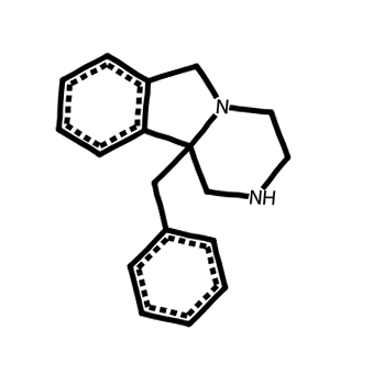 c1ccc(CC23CNCCN2Cc2ccccc23)cc1